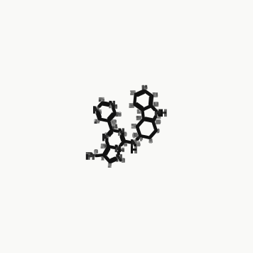 CC(C)c1cnn2c(N[C@@H]3CCc4[nH]c5ccccc5c4C3)nc(-c3cncnc3)nc12